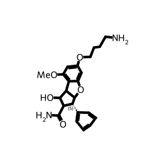 COc1cc(OCCCCN)cc2c1C1C(O)C(C(N)=O)[C@@H](c3ccccc3)C1O2